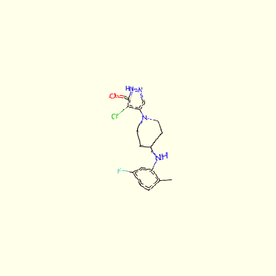 Cc1ccc(F)cc1NC1CCN(c2cn[nH]c(=O)c2Cl)CC1